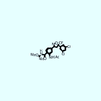 COC(=N)NC(=O)c1ccc(C2=NOC(c3cc(Cl)cc(Cl)c3)(C(F)(F)F)C2)cc1NC(C)=O